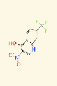 O=[N+]([O-])c1cnc2cc(C(F)(F)F)ccc2c1O